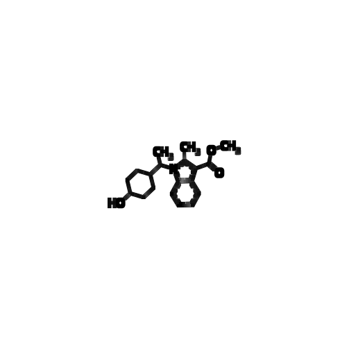 COC(=O)c1c(C)n(C(C)C2CCC(O)CC2)c2ccccc12